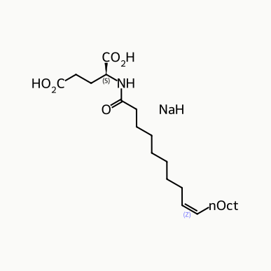 CCCCCCCC/C=C\CCCCCCCC(=O)N[C@@H](CCC(=O)O)C(=O)O.[NaH]